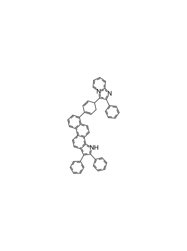 C1=CC(c2c(-c3ccccc3)nc3ccccn23)CC=C1c1cccc2c1ccc1c2ccc2c(-c3ccccc3)c(-c3ccccc3)[nH]c21